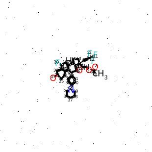 CC(=O)OCC(=O)[C@@]1(C#CC(F)(F)F)CC[C@H]2[C@@H]3CC(F)C4=CC(=O)CCC4=C3[C@@H](c3ccc(N4CCCCC4)cc3)C[C@@]21C